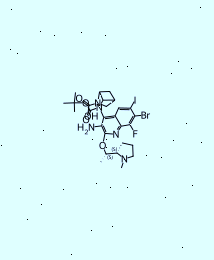 C[C@H](Oc1nc2c(F)c(Br)c(I)cc2c(N(C(=O)OC(C)(C)C)C2C3CC2N(C(=O)O)C3)c1N)[C@@H]1CCCN1C